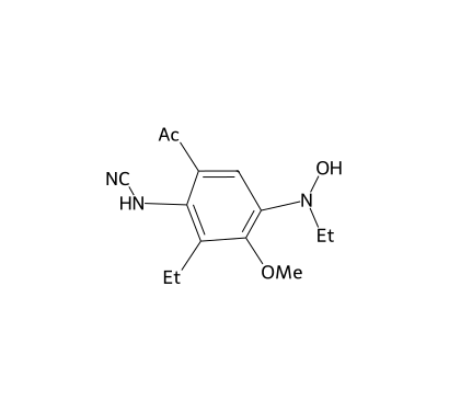 CCc1c(NC#N)c(C(C)=O)cc(N(O)CC)c1OC